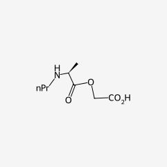 CCCN[C@@H](C)C(=O)OCC(=O)O